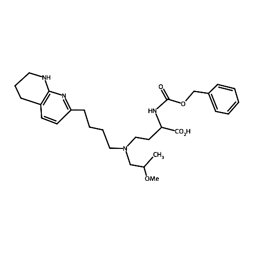 COC(C)CN(CCCCc1ccc2c(n1)NCCC2)CCC(NC(=O)OCc1ccccc1)C(=O)O